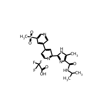 Cc1[nH]c(-c2cc(-c3cncc(S(C)(=O)=O)c3)ccn2)nc1C(=O)NC(C)C.O=C(O)C(F)(F)F